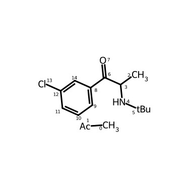 CC(C)=O.CC(NC(C)(C)C)C(=O)c1cccc(Cl)c1